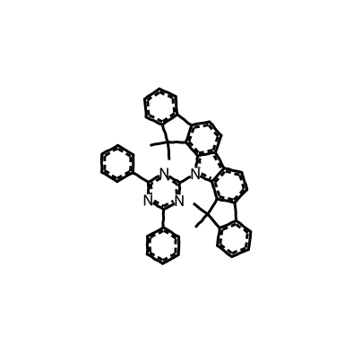 CC1(C)c2ccccc2-c2ccc3c4ccc5c(c4n(-c4nc(-c6ccccc6)nc(-c6ccccc6)n4)c3c21)C(C)(C)c1ccccc1-5